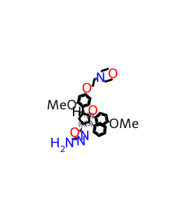 COc1ccc([C@@]23Oc4cc(OCCN5CCOCC5)cc(OC)c4[C@@H]2C[C@@H](c2nnc(N)o2)[C@H]3c2ccccc2)cc1